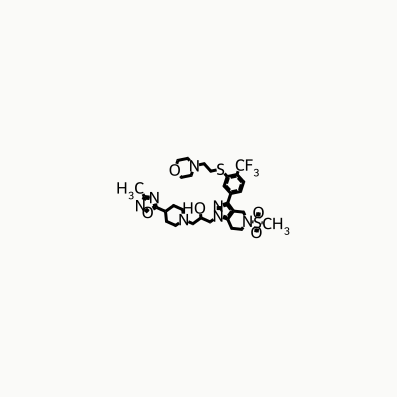 Cc1noc(C2CCN(CC(O)Cn3nc(-c4ccc(C(F)(F)F)c(SCCN5CCOCC5)c4)c4c3CCN(S(C)(=O)=O)C4)CC2)n1